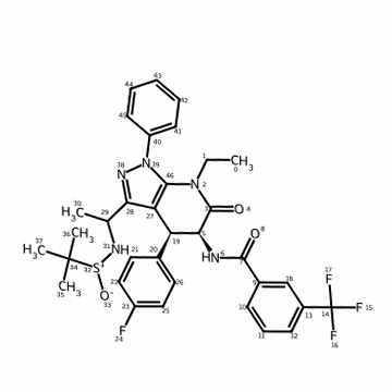 CCN1C(=O)[C@@H](NC(=O)c2cccc(C(F)(F)F)c2)[C@@H](c2ccc(F)cc2)c2c(C(C)N[S+]([O-])C(C)(C)C)nn(-c3ccccc3)c21